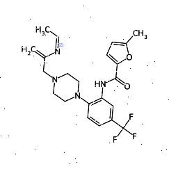 C=C(CN1CCN(c2ccc(C(F)(F)F)cc2NC(=O)c2ccc(C)o2)CC1)/N=C\C